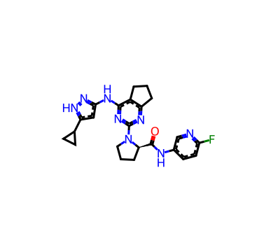 O=C(Nc1ccc(F)nc1)[C@H]1CCCN1c1nc2c(c(Nc3cc(C4CC4)[nH]n3)n1)CCC2